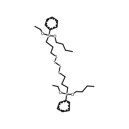 CCCCO[Si](CCCSSSSCCC[Si](OCC)(OCCCC)c1ccccc1)(OCC)c1ccccc1